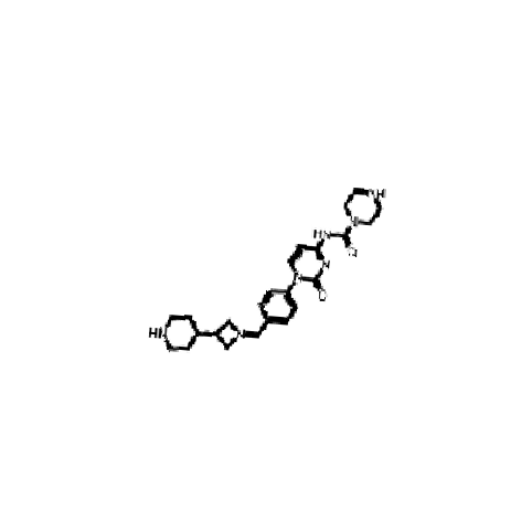 O=C(Nc1ccn(-c2ccc(CN3CC(C4CCNCC4)C3)cc2)c(=O)n1)N1CCNCC1